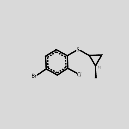 C[C@@H]1CC1Sc1ccc(Br)cc1Cl